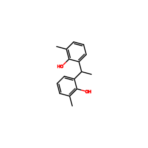 Cc1cccc(C(C)c2cccc(C)c2O)c1O